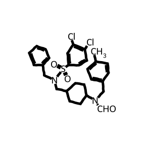 Cc1ccc(CN(C=O)C2CCC(CN(Cc3ccccc3)S(=O)(=O)c3ccc(Cl)c(Cl)c3)CC2)cc1